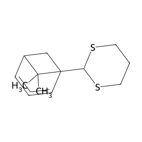 CC1(C)C2C=C=CC1(C1SCCCS1)C2